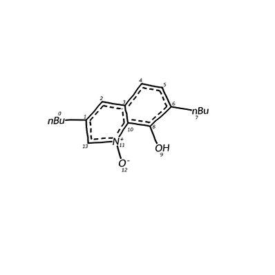 CCCCc1cc2ccc(CCCC)c(O)c2[n+]([O-])c1